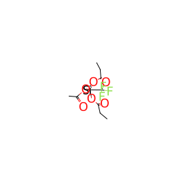 CCC(=O)O[Si](OC(C)=O)(OC(=O)CC)C(F)(F)F